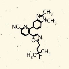 Cc1nc2cc(-c3nc(C#N)ccc3-c3cnc(CCC(C)(C)F)o3)ccc2n1C